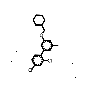 Cc1[c]c(-c2ccc(Cl)cc2Cl)cc(OCC2CCCCC2)c1